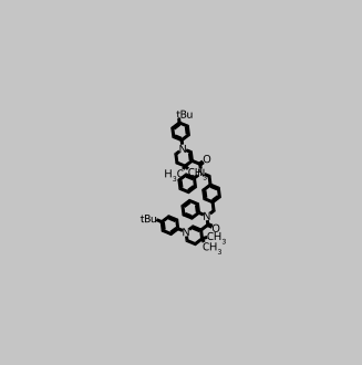 CC1(C)CCN(c2ccc(C(C)(C)C)cc2)C=C1C(=O)N(Cc1ccc(CN(C(=O)C2=CN(c3ccc(C(C)(C)C)cc3)CCC2(C)C)c2ccccc2)cc1)c1ccccc1